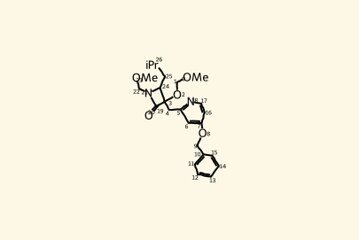 COCOC1(Cc2cc(OCc3ccccc3)ccn2)C(=O)N(COC)C1CC(C)C